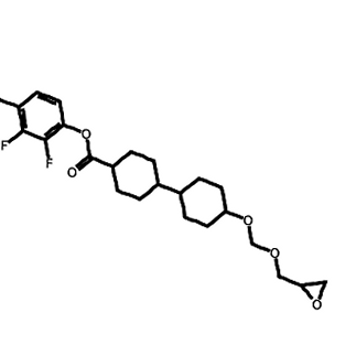 Cc1ccc(OC(=O)C2CCC(C3CCC(OCOCC4CO4)CC3)CC2)c(F)c1F